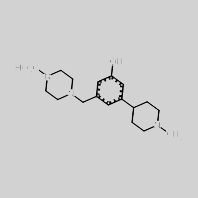 CN1CCC(c2cc(O)cc(CN3CCN(C(=O)O)CC3)c2)CC1